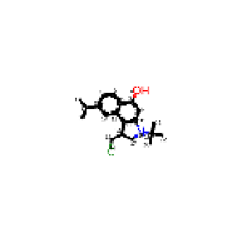 CC(C)c1ccc2c(O)cc3c(c2c1)C(CCl)CN3C(C)(C)C